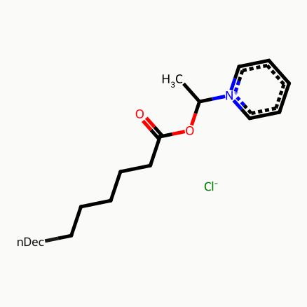 CCCCCCCCCCCCCCCC(=O)OC(C)[n+]1ccccc1.[Cl-]